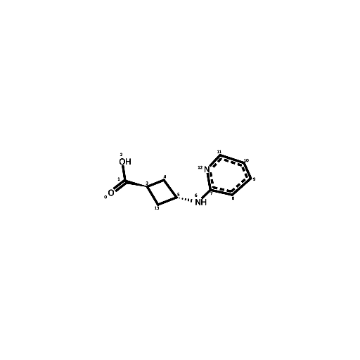 O=C(O)[C@H]1C[C@H](Nc2ccccn2)C1